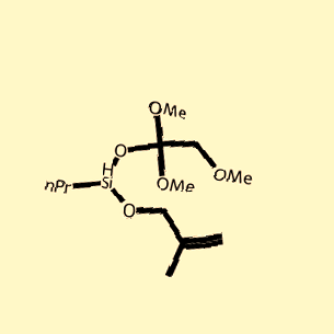 C=C(C)CO[SiH](CCC)OC(COC)(OC)OC